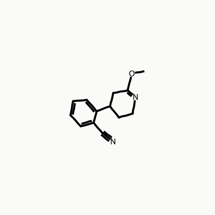 COC1=NCCC(c2ccccc2C#N)C1